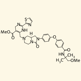 COCC(C)(C)NC(=O)c1ccc(Oc2ccc(N3C[C@@H]4CN(CC5=C(C(=O)OC)CN=C(c6nccs6)N5)CCN4C3=O)cc2)cc1